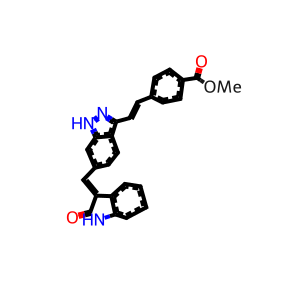 COC(=O)c1ccc(C=Cc2n[nH]c3cc(/C=C4/C(=O)Nc5ccccc54)ccc23)cc1